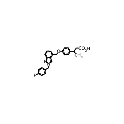 CC(CC(=O)O)c1ccc(OCc2cccc3nn(Cc4ccc(F)cc4)cc23)cc1